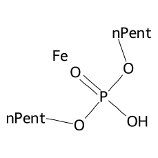 CCCCCOP(=O)(O)OCCCCC.[Fe]